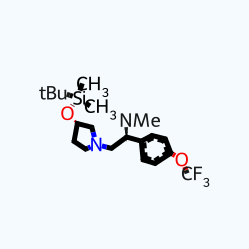 CN[C@H](CN1CC[C@H](O[Si](C)(C)C(C)(C)C)C1)c1ccc(OC(F)(F)F)cc1